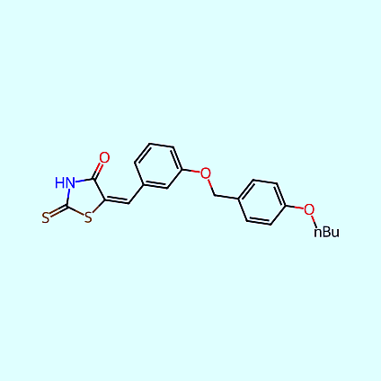 CCCCOc1ccc(COc2cccc(C=C3SC(=S)NC3=O)c2)cc1